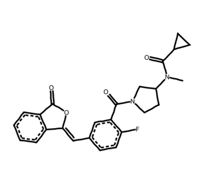 CN(C(=O)C1CC1)C1CCN(C(=O)c2cc(/C=C3\OC(=O)c4ccccc43)ccc2F)C1